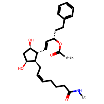 CCCCCCC(=O)O[C@H](/C=C/[C@@H]1[C@@H](C/C=C\CCCC(=O)NCC)[C@@H](O)C[C@H]1O)CCc1ccccc1